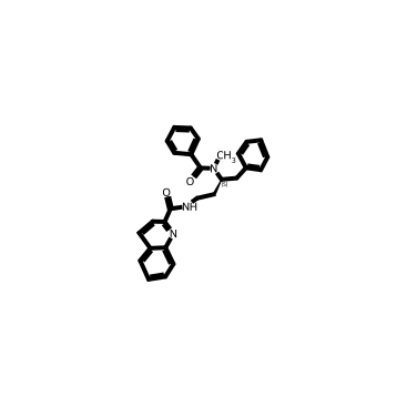 CN(C(=O)c1ccccc1)[C@H](CCNC(=O)c1ccc2ccccc2n1)Cc1ccccc1